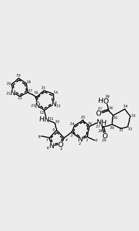 Cc1nc(-c2onc(C)c2CNc2nccc(-c3cccnc3)n2)ccc1NC(=O)C1CCCCC1C(=O)O